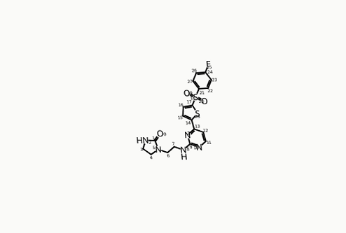 O=C1NCCN1CCNc1nccc(-c2ccc(S(=O)(=O)c3ccc(F)cc3)s2)n1